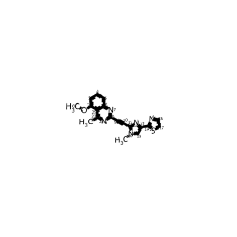 COc1cccc2nc(C#Cc3nc(-c4nccs4)cn3C)nc(C)c12